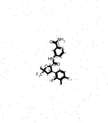 Cc1c(F)ccc([C@H]2C[C@@](C)(C(F)(F)F)O[C@H]2C(=O)Nc2ccnc(C(N)=O)c2)c1F